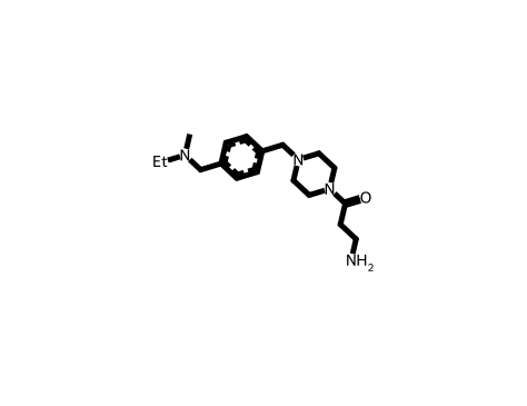 CCN(C)Cc1ccc(CN2CCN(C(=O)CCN)CC2)cc1